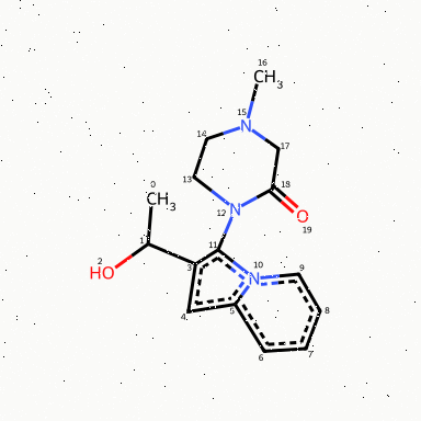 CC(O)c1cc2ccccn2c1N1CCN(C)CC1=O